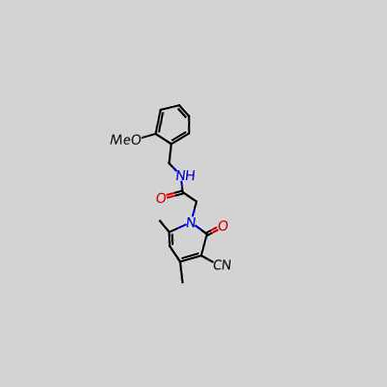 COc1ccccc1CNC(=O)Cn1c(C)cc(C)c(C#N)c1=O